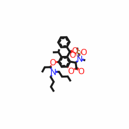 CCCCN(CCCC)C(CC)Oc1cc2c(c(C(=O)c3ccccc3)c1C(C)C)C(N(C)S(C)(=O)=O)C(=O)O2